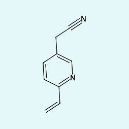 C=Cc1ccc(CC#N)cn1